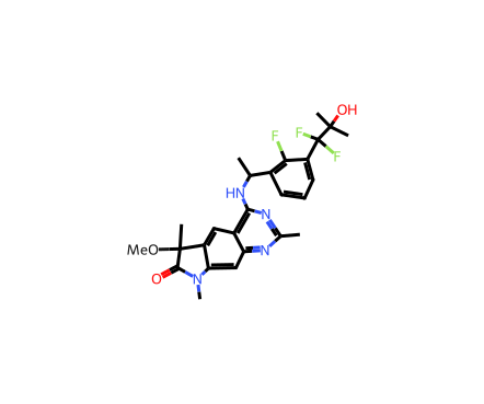 COC1(C)C(=O)N(C)c2cc3nc(C)nc(NC(C)c4cccc(C(F)(F)C(C)(C)O)c4F)c3cc21